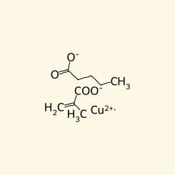 C=C(C)C(=O)[O-].CCCCC(=O)[O-].[Cu+2]